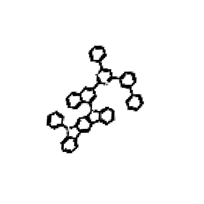 c1ccc(-c2cccc(-c3cc(-c4ccccc4)nc(-c4cc(-n5c6ccccc6c6cc7c8ccccc8n(-c8ccccc8)c7cc65)c5ccccc5c4)n3)c2)cc1